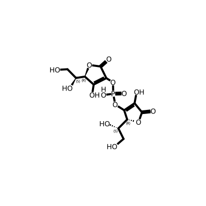 O=C1O[C@H]([C@@H](O)CO)C(OP(=O)(O)OC2=C(O)[C@@H]([C@@H](O)CO)OC2=O)=C1O